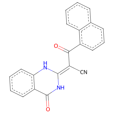 N#C/C(C(=O)c1cccc2ccccc12)=C1\NC(=O)c2ccccc2N1